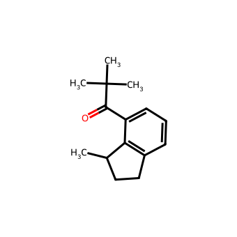 CC1CCc2cccc(C(=O)C(C)(C)C)c21